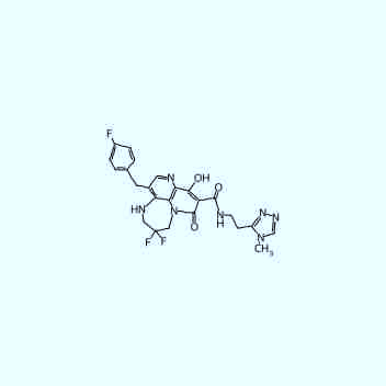 Cn1cnnc1CCNC(=O)c1c(O)c2ncc(Cc3ccc(F)cc3)c3c2n(c1=O)CC(F)(F)CN3